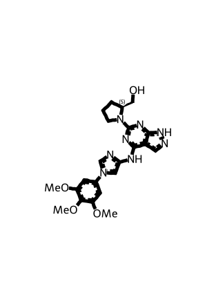 COc1cc(-n2cnc(Nc3nc(N4CCC[C@H]4CO)nc4[nH]ncc34)c2)cc(OC)c1OC